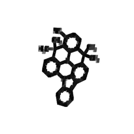 CC1(C)c2ccc(C#N)c3c2B2c4c(cccc4C3(C)C)-n3c4ccccc4c4ccc1c2c43